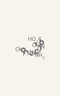 N.O=C(O)c1ccc2nc(CN3CCC(n4ccc(SCc5ccc(Cl)cc5F)n4)CC3)n(C[C@@H]3CCO3)c2c1